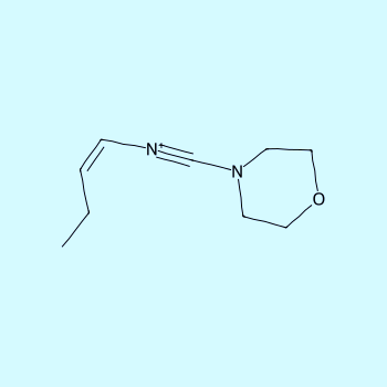 CC/C=C\[N+]#CN1CCOCC1